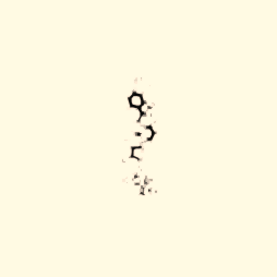 O=c1ccn([C@@H]2O[C@H](COP(=O)(O)OP(=O)(O)O)C(O)[C@@H]2O)c(=O)n1Cc1noc2cc(OC(F)(F)F)ccc12